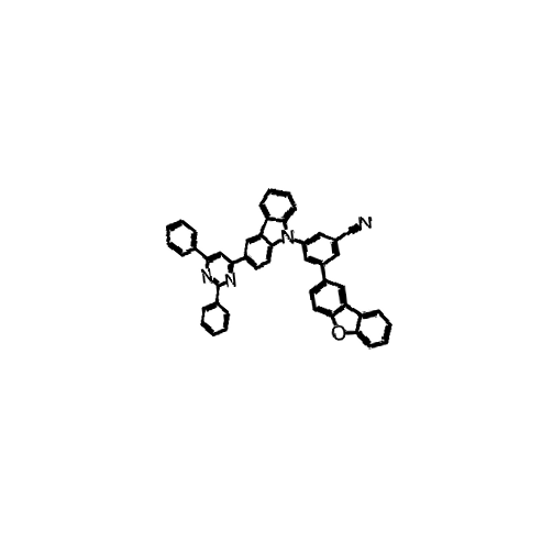 N#Cc1cc(-c2ccc3oc4ccccc4c3c2)cc(-n2c3ccccc3c3cc(-c4cc(-c5ccccc5)nc(-c5ccccc5)n4)ccc32)c1